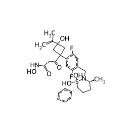 C=C(C)C1(O)CC(C(=O)CC(=O)NO)(c2cc(F)c(CN3[C@@H](C)CC[C@H](c4ccccc4)S3(O)O)cc2F)C1